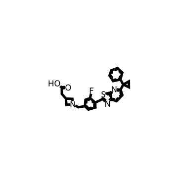 O=C(O)CC1CN(Cc2ccc(-c3nc4ccc(C5(c6ccccc6)CC5)nc4s3)c(F)c2)C1